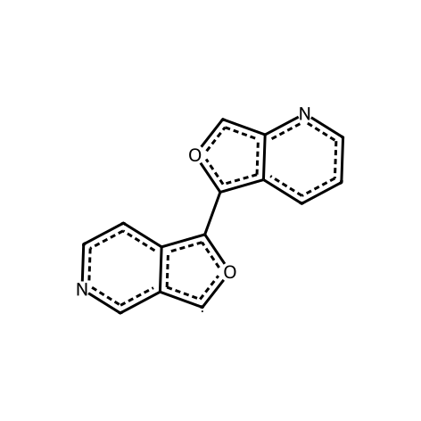 [c]1oc(-c2occ3ncccc23)c2ccncc12